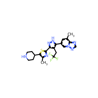 Cc1nc(-c2n[nH]c(-c3cc(C)c4ncnn4c3)c2CC(F)(F)F)sc1C1CCNCC1